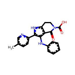 Cc1ccc(-c2[nH]c3c(c2Nc2ccccc2)C(=O)N(C(=O)O)CC3)nc1